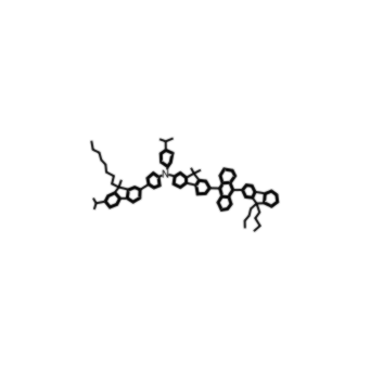 CCCCCCCCC1(C)c2cc(-c3ccc(N(c4ccc(C(C)C)cc4)c4ccc5c(c4)C(C)(C)c4cc(-c6c7ccccc7c(-c7ccc8c(c7)C(CCCC)(CCCC)c7ccccc7-8)c7ccccc67)ccc4-5)cc3)ccc2-c2ccc(C(C)C)cc21